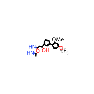 COc1cc(OC(F)(F)F)ccc1-c1cccc(C(O)CC(=N)OC(C)=N)c1